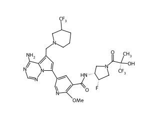 COc1ncc(-c2cc(CN3CCCC(C(F)(F)F)C3)c3c(N)ncnn23)cc1C(=O)N[C@@H]1CN(C(=O)[C@@](C)(O)C(F)(F)F)C[C@@H]1F